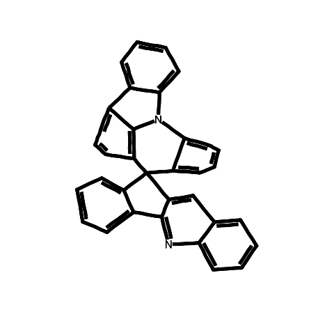 c1ccc2c(c1)-c1nc3ccccc3cc1C21c2ccccc2-n2c3ccccc3c3cccc1c32